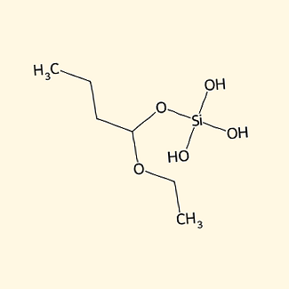 CCCC(OCC)O[Si](O)(O)O